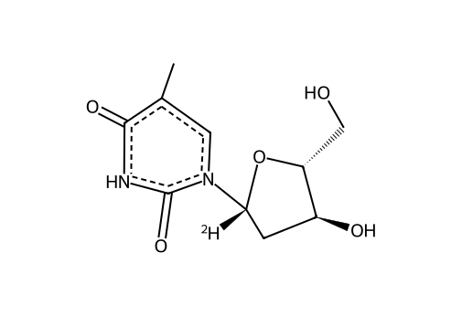 [2H][C@]1(n2cc(C)c(=O)[nH]c2=O)C[C@H](O)[C@@H](CO)O1